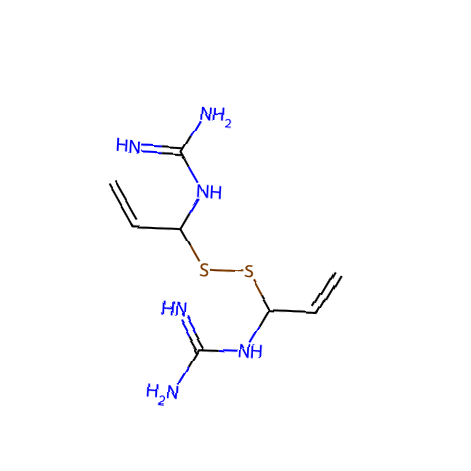 C=CC(NC(=N)N)SSC(C=C)NC(=N)N